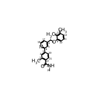 Cc1cc(-c2cc(COc3cccc(C)c3C)ccn2)ccc1C(=O)NI